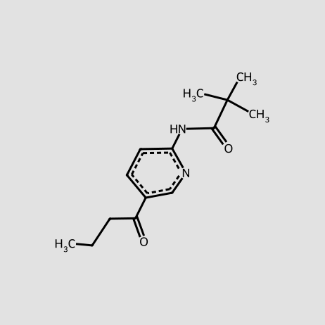 CCCC(=O)c1ccc(NC(=O)C(C)(C)C)nc1